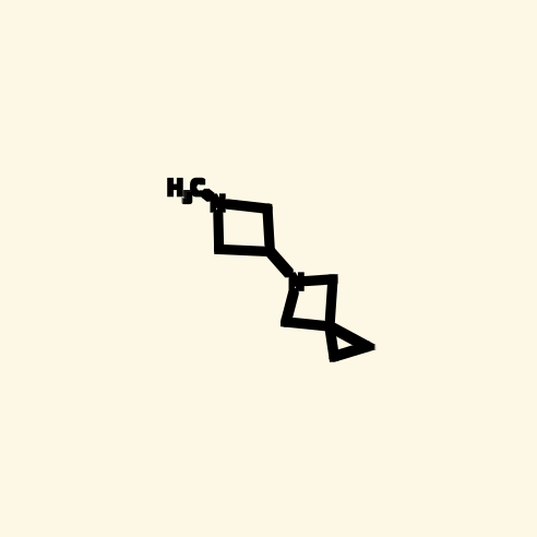 CN1CC(N2CC3(CC3)C2)C1